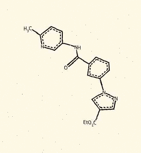 CCOC(=O)c1cnn(-c2cccc(C(=O)Nc3ccc(C)nc3)c2)c1